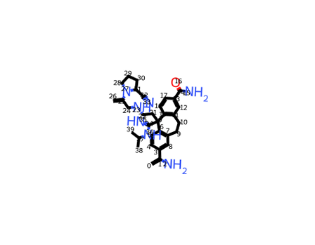 C=C(N)c1ccc2c(c1)CCc1cc(C(N)=O)ccc1C2(CCNCC(=C)N1CCCC1C#N)C(=N)NC(C)C